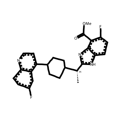 COC(=O)c1c(F)ccc2[nH]c([C@H](C)C3CCC(c4ccnc5ccc(F)cc45)CC3)nc12